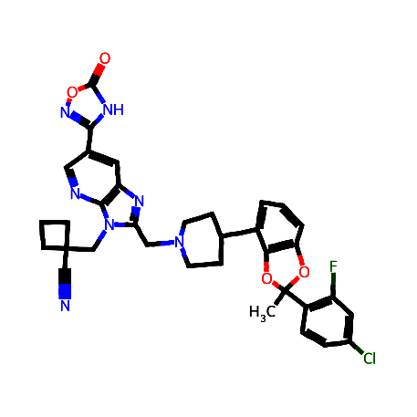 CC1(c2ccc(Cl)cc2F)Oc2cccc(C3CCN(Cc4nc5cc(-c6noc(=O)[nH]6)cnc5n4CC4(C#N)CCC4)CC3)c2O1